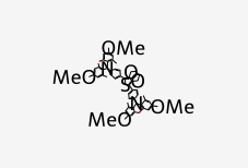 COc1cc(C)c(N(c2ccc(-c3sc(-c4ccc(N(c5c(C)cc(OC)cc5C)c5c(C)cc(OC)cc5C)cc4)c4c3OCCO4)cc2)c2c(C)cc(OC)cc2C)c(C)c1